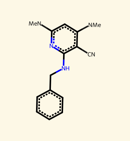 CNc1cc(NC)c(C#N)c(NCc2ccccc2)n1